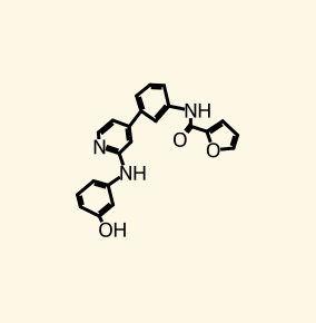 O=C(Nc1cccc(-c2ccnc(Nc3cccc(O)c3)c2)c1)c1ccco1